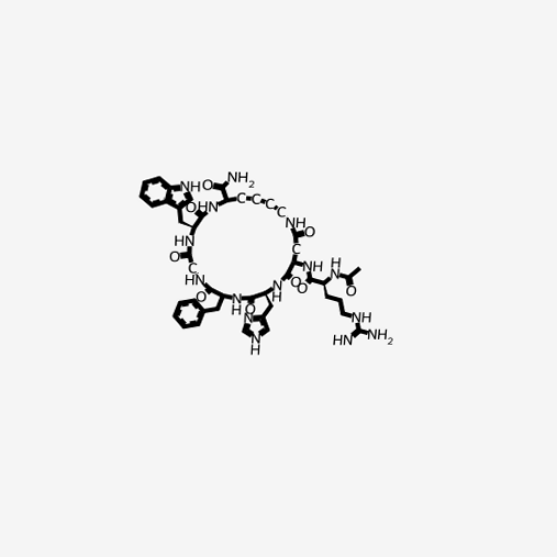 CC(=O)N[C@@H](CCCNC(=N)N)C(=O)NC1CC(=O)NCCCCC(C(N)=O)NC(=O)[C@H](Cc2c[nH]c3ccccc23)NC(=O)CNC(=O)C(Cc2ccccc2)NC(=O)[C@H](Cc2c[nH]cn2)NC1=O